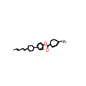 CC=CCCC1CCC(c2ccc(OC(=O)C3CCC(CCC)CC3)cc2)CC1